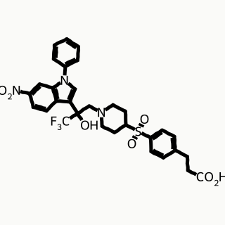 O=C(O)CCc1ccc(S(=O)(=O)C2CCN(CC(O)(c3cn(-c4ccccc4)c4cc([N+](=O)[O-])ccc34)C(F)(F)F)CC2)cc1